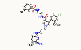 COc1cc(Cl)ccc1-c1cn(CCCNc2ccc([N+](=O)[O-])c(N)n2)cc1C(=O)NCCNS(=O)(=O)c1cccc(C#N)c1